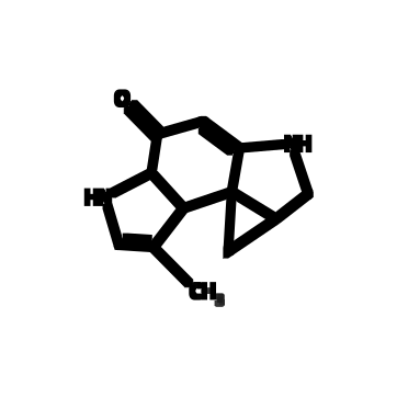 CC1=CNC2C(=O)C=C3NCC4CC34C12